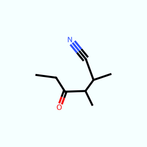 CCC(=O)C(C)C(C)C#N